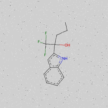 CCCC(O)(c1cc2ccccc2[nH]1)C(F)(F)F